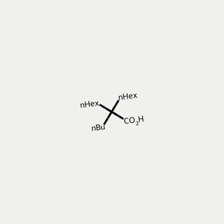 CCCCCCC(CCCC)(CCCCCC)C(=O)O